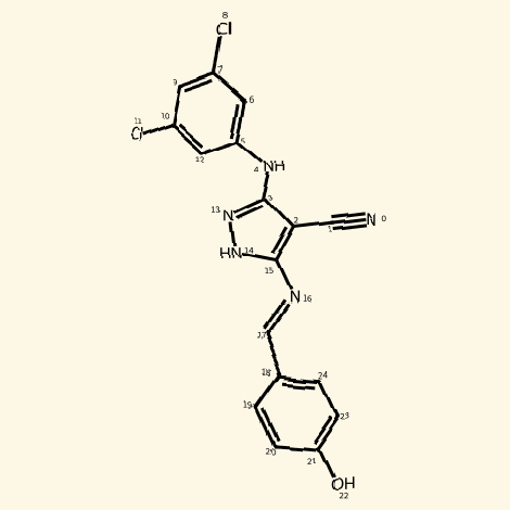 N#Cc1c(Nc2cc(Cl)cc(Cl)c2)n[nH]c1/N=C/c1ccc(O)cc1